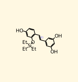 CC[Si](CC)(CC)Oc1cc(O)ccc1/C=C/c1cc(O)cc(O)c1